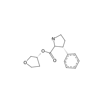 O=C(O[C@@H]1CCOC1)C1[N]CC[C@@H]1c1ccccc1